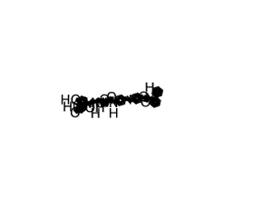 O=C(Nc1ccccc1-c1ccccc1)OC1CCN(CCC2CCC(NC(=O)c3ccc(CNC[C@@H](O)c4ccc(O)c5[nH]c(=O)ccc45)o3)CC2)CC1